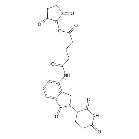 O=C1CCC(N2Cc3c(NC(=O)CCCC(=O)ON4C(=O)CCC4=O)cccc3C2=O)C(=O)N1